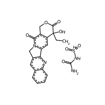 CCC1(O)C(=O)OCc2c1cc1n(c2=O)Cc2cc3ccccc3nc2-1.NC(=O)N[SH](=O)=O